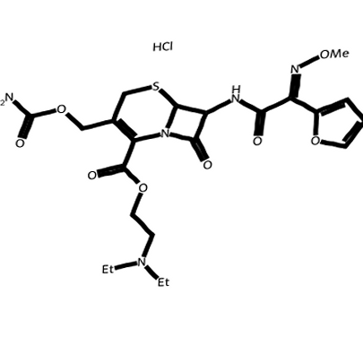 CCN(CC)CCOC(=O)C1=C(COC(N)=O)CSC2C(NC(=O)C(=NOC)c3ccco3)C(=O)N12.Cl